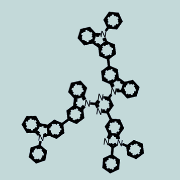 c1ccc(-c2nc3cc(-c4cc(-n5c6ccccc6c6cc(-c7ccc8c(c7)c7ccccc7n8-c7ccccc7)ccc65)nc(-n5c6ccccc6c6cc(-c7ccc8c(c7)c7ccccc7n8-c7ccccc7)ccc65)n4)ccc3n2-c2ccccc2)cc1